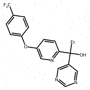 CCC(O)(c1cncnc1)c1ccc(Oc2ccc(C(F)(F)F)cc2)cn1